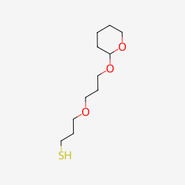 SCCCOCCCOC1CCCCO1